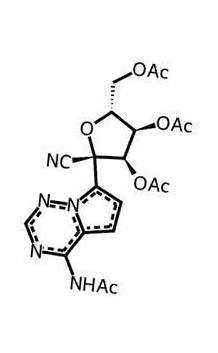 CC(=O)Nc1ncnn2c([C@]3(C#N)O[C@H](COC(C)=O)[C@@H](OC(C)=O)[C@H]3OC(C)=O)ccc12